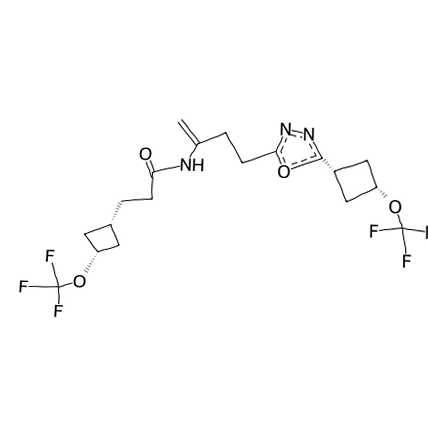 C=C(CCc1nnc([C@H]2C[C@@H](OC(F)(F)F)C2)o1)NC(=O)CC[C@H]1C[C@@H](OC(F)(F)F)C1